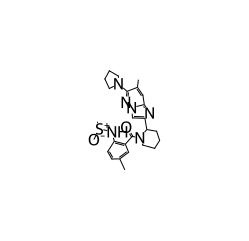 Cc1ccc(N[S+](C)[O-])c(C(=O)N2CCCCC2c2cn3nc(N4CCCC4)c(C)cc3n2)c1